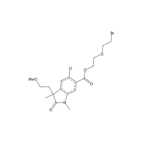 COCCC1(C)C(=O)N(C)c2cc(C(=O)OCCOCCBr)c(Cl)cc21